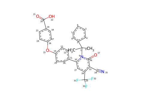 CC(C)(c1ccccc1)n1c(-c2ccc(Oc3ccc(C(=O)O)cc3)cc2)cc(C(F)(F)F)c(C#N)c1=O